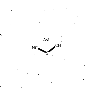 N#CSC#N.[As]